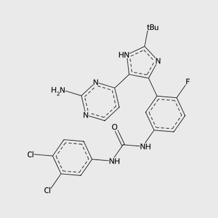 CC(C)(C)c1nc(-c2cc(NC(=O)Nc3ccc(Cl)c(Cl)c3)ccc2F)c(-c2ccnc(N)n2)[nH]1